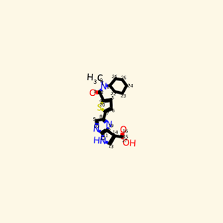 CN(C(=O)c1ccc(-c2cnc3[nH]cc(C(=O)O)c3n2)s1)C1CCCCC1